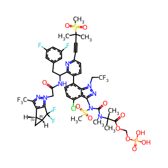 CN(C(=O)N(c1nn(CC(F)(F)F)c2c(-c3ccc(C#CC(C)(C)S(C)(=O)=O)nc3C(Cc3cc(F)cc(F)c3)NC(=O)Cn3nc(C(F)(F)F)c4c3C(F)(F)[C@@H]3C[C@H]43)ccc(Cl)c12)S(C)(=O)=O)C(C)(C)C(=O)OCOP(=O)(O)O